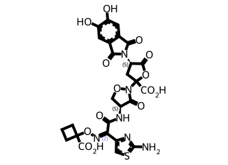 Nc1nc(/C(=N/OC2(C(=O)O)CCC2)C(=O)N[C@H]2CON(C3(C(=O)O)C[C@H](N4C(=O)c5cc(O)c(O)cc5C4=O)C(=O)O3)C2=O)cs1